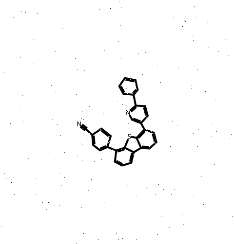 N#Cc1ccc(-c2cccc3c2sc2c(-c4ccc(-c5ccccc5)nc4)cccc23)cc1